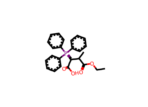 CCOC(=O)C(C)C(C(=O)O)=P(c1ccccc1)(c1ccccc1)c1ccccc1